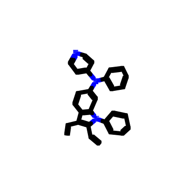 C=Cc1c(C=C)n(-c2ccccc2)c2cc(N(c3ccccc3)c3ccncc3)ccc12